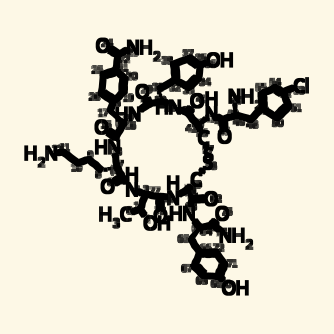 CC(O)C1NC(=O)[C@H](CCCCN)NC(=O)[C@@H](Cc2ccc(C(N)=O)cc2)NC(=O)[C@H](Cc2ccc(O)cc2)NC(=O)[C@@H](NC(=O)[C@@H](N)Cc2ccc(Cl)cc2)CSSC[C@@H](C(=O)N[C@H](Cc2ccc(O)cc2)C(N)=O)NC1=O